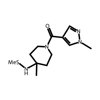 CSNC1(C)CCN(C(=O)c2cnn(C)c2)CC1